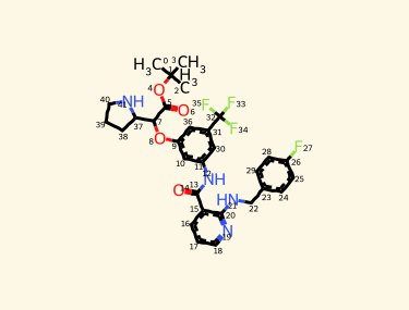 CC(C)(C)OC(=O)C(Oc1cc(NC(=O)c2cccnc2NCc2ccc(F)cc2)cc(C(F)(F)F)c1)C1CCCN1